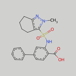 Cn1nc2c(c1S(=O)(=O)Nc1cc(-c3ccccc3)ccc1C(=O)O)CCCC2